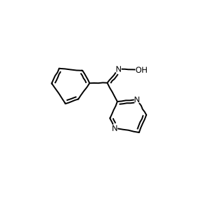 ON=C(c1ccccc1)c1cnccn1